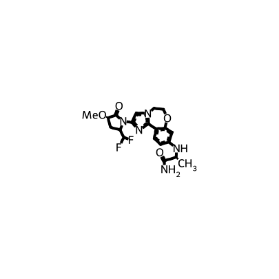 CO[C@H]1CC(C(F)F)N(c2cn3c(n2)-c2ccc(N[C@@H](C)C(N)=O)cc2OCC3)C1=O